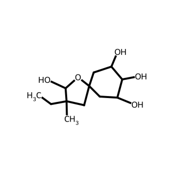 CCC1(C)CC2(CC(O)C(O)C(O)C2)OC1O